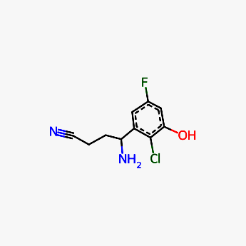 N#CCCC(N)c1cc(F)cc(O)c1Cl